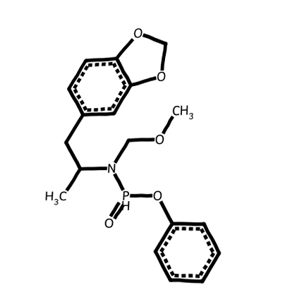 COCN(C(C)Cc1ccc2c(c1)OCO2)[PH](=O)Oc1ccccc1